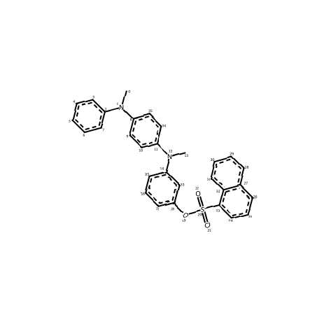 CN(c1ccccc1)c1ccc(N(C)c2cccc(OS(=O)(=O)c3cccc4ccccc34)c2)cc1